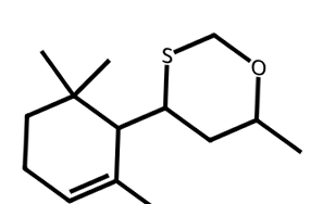 CC1=CCCC(C)(C)C1C1CC(C)OCS1